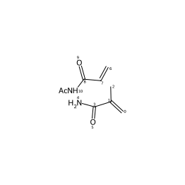 C=C(C)C(N)=O.C=CC(=O)NC(C)=O